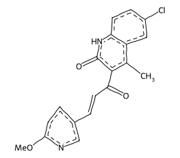 COc1ccc(C=CC(=O)c2c(C)c3cc(Cl)ccc3[nH]c2=O)cn1